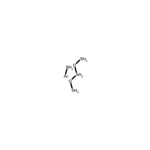 CC(N)=O.[SiH3]O[SiH2]O[SiH3]